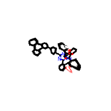 c1ccc(C2=NC(c3ccc(-c4ccc5c6ccccc6c6ccccc6c5c4)cc3)=NC(c3cccc4oc5cccc(-c6ccc7c(c6)oc6ccccc67)c5c34)N2)cc1